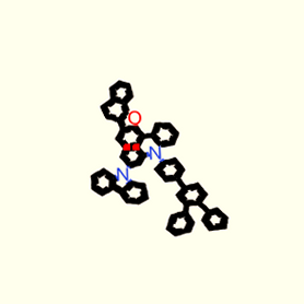 c1ccc(-c2ccc(-c3ccc(N(c4cccc(-n5c6ccccc6c6ccccc65)c4)c4ccccc4-c4cccc5c4oc4c6ccccc6ccc54)cc3)cc2-c2ccccc2)cc1